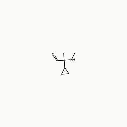 [CH2]C(C=O)(NC)C1CC1